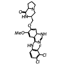 COC1=CC2=C(Nc3ccc(Cl)c(Cl)c3F)N=CNC2C=C1OC[C@@H]1CN2CCCC2C(=O)N1